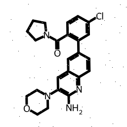 Nc1nc2ccc(-c3cc(Cl)ccc3C(=O)N3CCCC3)cc2cc1N1CCOCC1